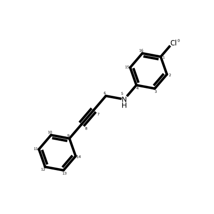 Clc1ccc(NCC#Cc2ccccc2)cc1